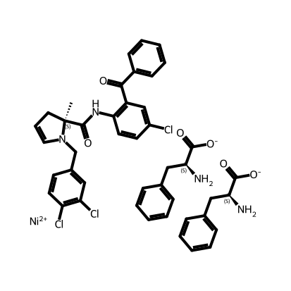 C[C@@]1(C(=O)Nc2ccc(Cl)cc2C(=O)c2ccccc2)CC=CN1Cc1ccc(Cl)c(Cl)c1.N[C@@H](Cc1ccccc1)C(=O)[O-].N[C@@H](Cc1ccccc1)C(=O)[O-].[Ni+2]